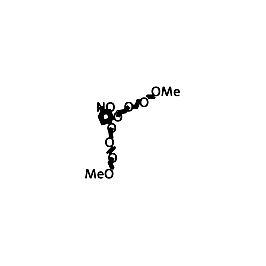 COCCOCCOCCOc1ccc([N+](=O)[O-])cc1OCCOCCOCCOC